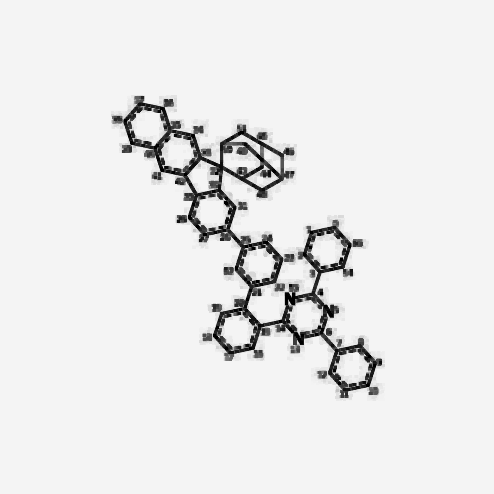 c1ccc(-c2nc(-c3ccccc3)nc(-c3ccccc3-c3cccc(-c4ccc5c(c4)C4(c6cc7ccccc7cc6-5)C5CC6CC(C5)CC4C6)c3)n2)cc1